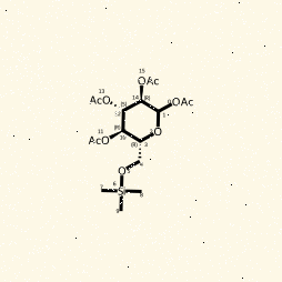 CC(=O)OC1O[C@H](CO[Si](C)(C)C)[C@@H](OC(C)=O)[C@H](OC(C)=O)[C@H]1OC(C)=O